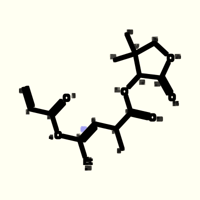 C=CC(=O)O/C(=C/C(C)C(=O)OC1C(=O)OCC1(C)C)CC